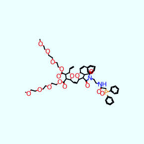 C=CC1OC(/C=C\C2OC(/C=C\c3ccccc3)C3C(=O)N(CCNC(=O)CP(=O)(c4ccccc4)c4ccccc4)C(=O)C23)C(C(=O)OCCOCCOCCOC)C1C(=O)OCCOCCOCCOC